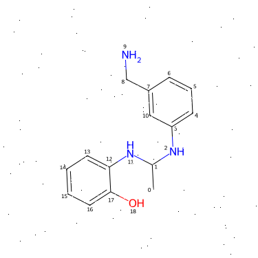 CC(Nc1cccc(CN)c1)Nc1ccccc1O